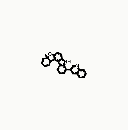 CC12C=CC=CC1c1c(ccc3[nH]c4c(-c5cnc6ccccc6c5)cccc4c13)O2